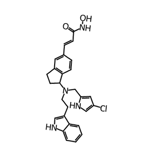 O=C(C=Cc1ccc2c(c1)CCC2N(CCc1c[nH]c2ccccc12)Cc1cc(Cl)c[nH]1)NO